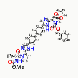 COC(=O)N[C@H](C(=O)N1CCCC1c1ncc(-c2ccc(-c3ccc(-c4cnc(C5CC6(CN5C(=O)OCc5ccccc5)OCCCO6)[nH]4)cc3)cc2)[nH]1)C(C)C